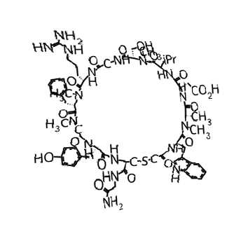 CC(C)C1NC(=O)[C@H](CC(=O)O)NC(=O)[C@H](C)N(C)C(=O)[C@@H](Cc2c[nH]c3ccccc23)NC(=O)CSC[C@@H](C(=O)NCC(N)=O)NC(=O)[C@H](Cc2ccc(O)cc2)NC(=O)CN(C)C(=O)[C@H](Cc2ccccc2)N(C)C(=O)[C@H](CCCNC(=N)N)NC(=O)CNC(=O)[C@H](CO)N(C)C1=O